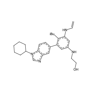 C=CNc1cc(NCCO)cc(-c2ccc3c(c2)ncn3C2CCCCC2)c1C(C)CC